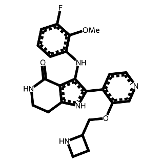 COc1c(F)cccc1Nc1c(-c2ccncc2OCC2CCN2)[nH]c2c1C(=O)NCC2